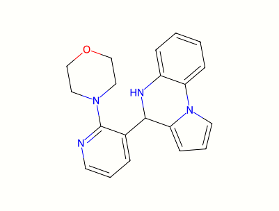 c1ccc2c(c1)NC(c1cccnc1N1CCOCC1)c1cccn1-2